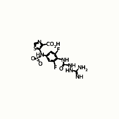 N=C(N)NNC(=O)Nc1c(F)cc(N(c2scnc2C(=O)O)[SH](=O)=O)cc1F